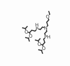 CCOCCCN(CCPCCC(OC(C)C)OC(C)C)CCPCCC(OC(C)C)OC(C)C